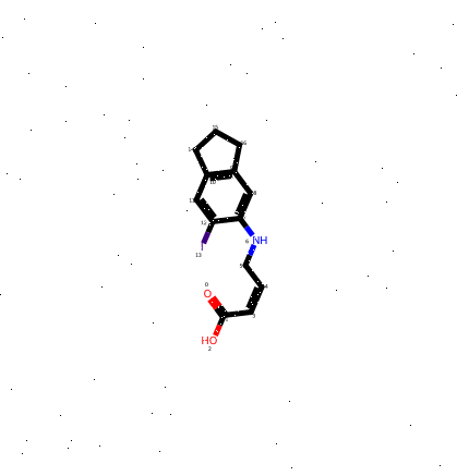 O=C(O)/C=C\CNc1cc2c(cc1I)CCC2